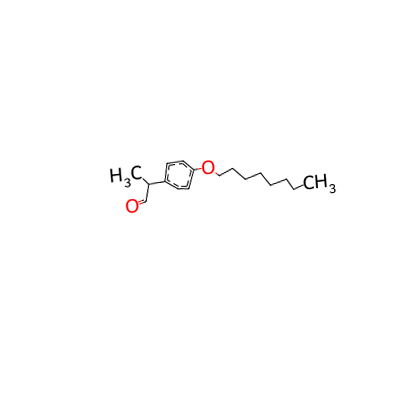 CCCCCCCCOc1ccc(C(C)C=O)cc1